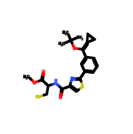 COC(=O)C(CS)NC(=O)c1csc(-c2cccc(C(OC(C)(C)C)=C3CC3)c2)n1